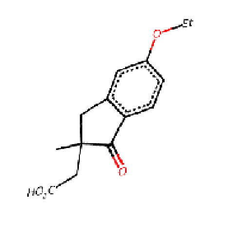 CCOc1ccc2c(c1)CC(C)(CC(=O)O)C2=O